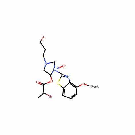 CCCCCOc1cccc2sc([N+]3([O-])CN(CCCBr)CC3OC(=O)C(C)Br)nc12